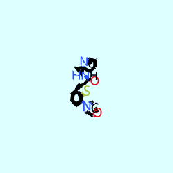 O=C(N[C@H]1C2CCN(CC2)C12CC2)c1cc2cccc(N3CCOCC3)c2s1